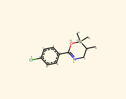 CC1CN=C(c2ccc(Cl)cc2)O[Si]1(C)C